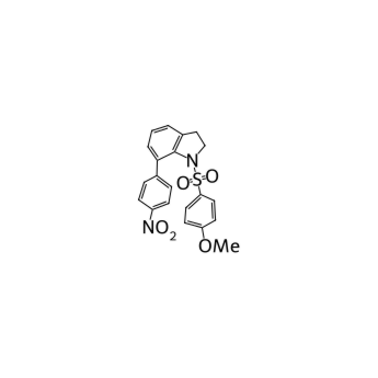 COc1ccc(S(=O)(=O)N2CCc3cccc(-c4ccc([N+](=O)[O-])cc4)c32)cc1